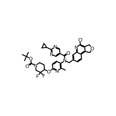 Cc1nc(OC2CCN(C(=O)OC(C)(C)C)CC2(F)F)ccc1N(Cc1ccc2c3c(c(Cl)nc2c1)COC3)C(=O)c1cnc(C2CC2)nc1